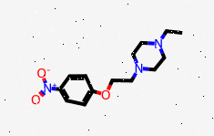 CCN1CCN(CCOc2ccc([N+](=O)[O-])cc2)CC1